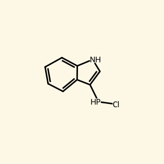 ClPc1c[nH]c2ccccc12